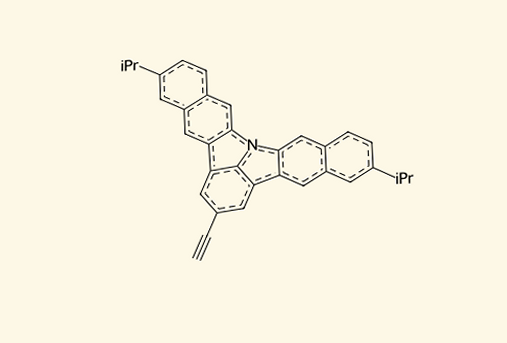 C#Cc1cc2c3cc4cc(C(C)C)ccc4cc3n3c4cc5ccc(C(C)C)cc5cc4c(c1)c23